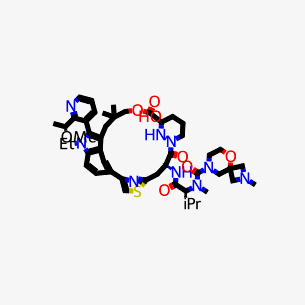 CCn1c(-c2cccnc2[C@H](C)OC)c2c3cc(ccc31)-c1csc(n1)C[C@H](NC(=O)[C@H](C(C)C)N(C)C(=O)N1CCOC3(CN(C)C3)C1)C(=O)N1CCC[C@@](O)(N1)C(=O)OCC(C)(C)C2